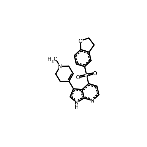 CN1CC=C(c2c[nH]c3nccc(S(=O)(=O)c4ccc5c(c4)CCO5)c23)CC1